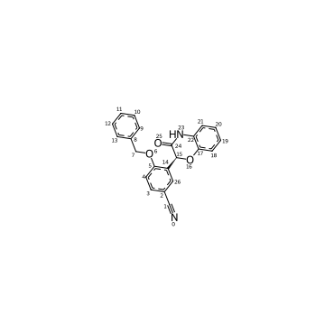 N#Cc1ccc(OCc2ccccc2)c([C@@H]2Oc3ccccc3NC2=O)c1